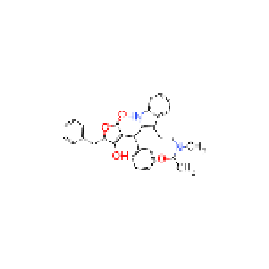 CC(=O)N(C)CCc1c(C(C2=C(O)C(Cc3ccccc3)OC2=O)c2ccccc2)[nH]c2ccccc12